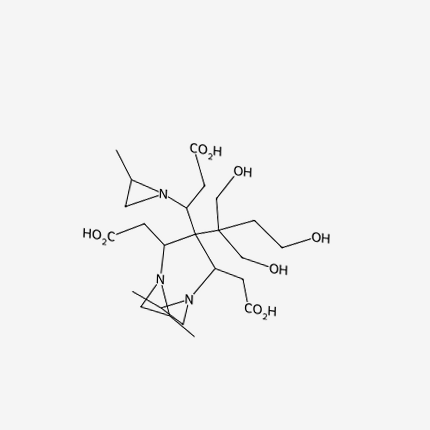 CC1CN1C(CC(=O)O)C(C(CC(=O)O)N1CC1C)(C(CC(=O)O)N1CC1C)C(CO)(CO)CCO